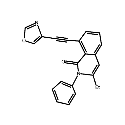 CCc1cc2cccc(C#Cc3cocn3)c2c(=O)n1-c1ccccc1